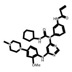 C=CC(=O)Nc1cccc(N(C(=O)NC2CCCCC2)c2cc(Nc3ccc(N4CCN(C)CC4)cc3OC)ncn2)c1